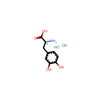 Cl.Cl.N[C@@H](Cc1ccc(O)c(O)c1)C(=O)O